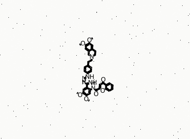 COc1cc2c(cc1OC)CN(CCc1ccc(N/N=N\C(=N)c3cc(OC)c(OC)cc3NC(=O)c3cc(=O)c4ccccc4o3)cc1)CC2